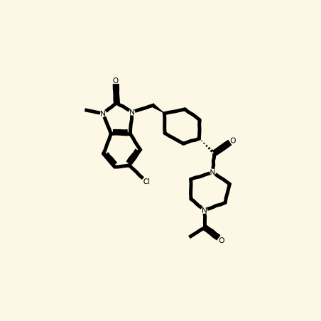 CC(=O)N1CCN(C(=O)[C@H]2CC[C@H](Cn3c(=O)n(C)c4ccc(Cl)cc43)CC2)CC1